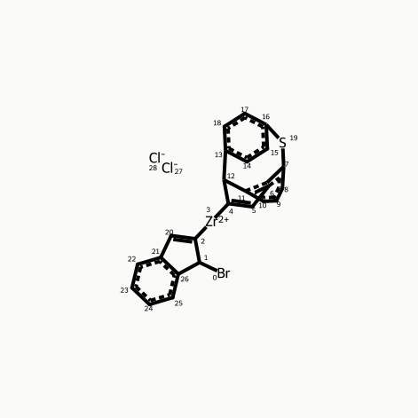 BrC1[C]([Zr+2][C]2=Cc3c4cccc3C2c2ccc(cc2)S4)=Cc2ccccc21.[Cl-].[Cl-]